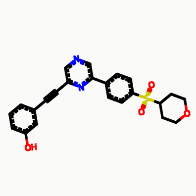 O=S(=O)(c1ccc(-c2cncc(C#Cc3cccc(O)c3)n2)cc1)C1CCOCC1